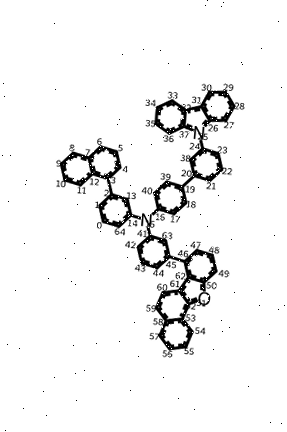 c1cc(-c2cccc3ccccc23)cc(N(c2ccc(-c3cccc(-n4c5ccccc5c5ccccc54)c3)cc2)c2cccc(-c3cccc4oc5c6ccccc6ccc5c34)c2)c1